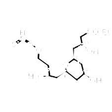 CCOC(=O)C[C@H](O)C[C@H]1C[C@@H](O)C[C@@H](C[C@@H](C)CCOB=[PH]=S)O1